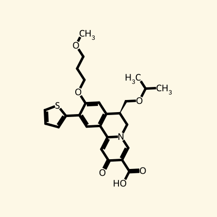 COCCCOc1cc2c(cc1-c1cccs1)-c1cc(=O)c(C(=O)O)cn1C[C@@H]2COC(C)C